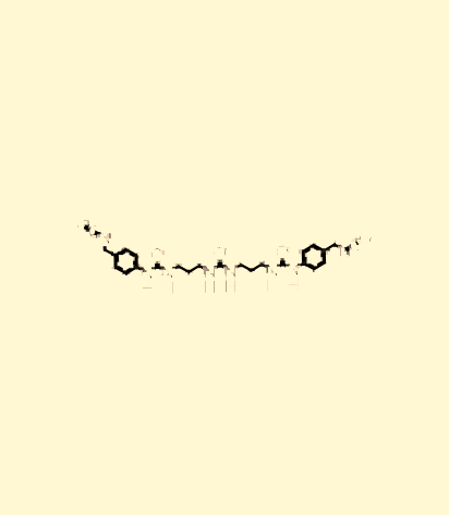 O=C=NCc1ccc(NC(=O)NCCCNC(=O)NCCCNC(=O)Nc2ccc(CN=C=O)cc2)cc1